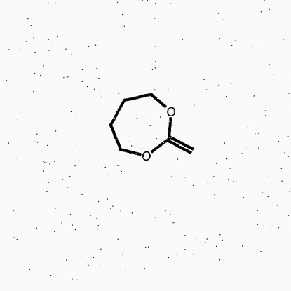 C=C1OCCCCO1